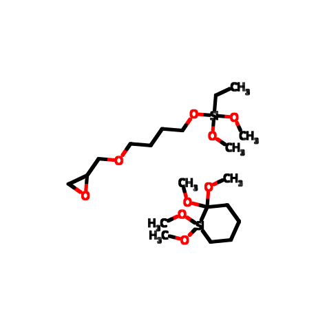 CC[Si](OC)(OC)OCCCCOCC1CO1.COC1(OC)CCCC[Si]1(OC)OC